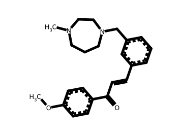 COc1ccc(C(=O)C=Cc2cccc(CN3CCCN(C)CC3)c2)cc1